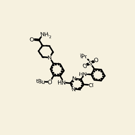 CC(C)S(=O)(=O)c1ccccc1Nc1nc(Nc2ccc(N3CCC(C(N)=O)CC3)cc2OC(C)(C)C)ncc1Cl